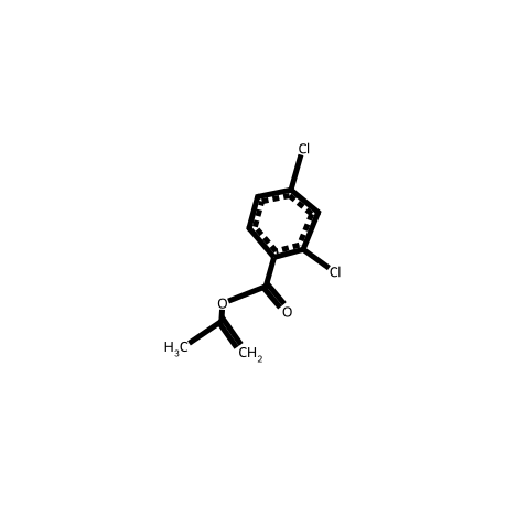 C=C(C)OC(=O)c1ccc(Cl)cc1Cl